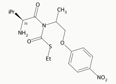 CCSC(=O)N(C(=O)[C@@H](N)C(C)C)C(C)COc1ccc([N+](=O)[O-])cc1